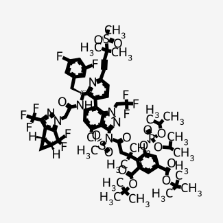 CC(C)OP(=O)(Oc1cc(C(=O)OC(C)(C)C)cc(C(=O)OC(C)(C)C)c1C(C)(C)CC(=O)N(c1nn(CC(F)(F)F)c2c(-c3ccc(C#CC(C)(C)S(C)(=O)=O)nc3[C@H](Cc3cc(F)cc(F)c3)NC(=O)Cn3nc(C(F)(F)F)c4c3C(F)(F)[C@@H]3C[C@H]43)ccc(Cl)c12)S(C)(=O)=O)OC(C)C